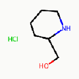 Cl.OCC1CCCCN1